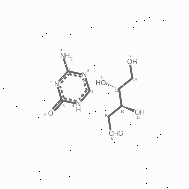 Nc1nc[nH]c(=O)n1.O=CC[C@H](O)[C@H](O)CO